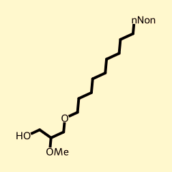 CCCCCCCCCCCCCCCCCCOCC(CO)OC